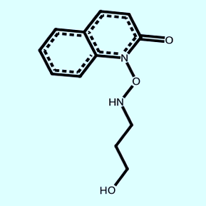 O=c1ccc2ccccc2n1ONCCCO